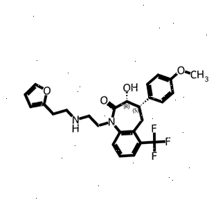 COc1ccc([C@@H]2Cc3c(cccc3C(F)(F)F)N(CCNCCc3ccco3)C(=O)[C@@H]2O)cc1